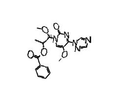 COc1cn([C@H](OC)C(C)OC(=O)c2ccccc2)c(=O)nc1-n1cncn1